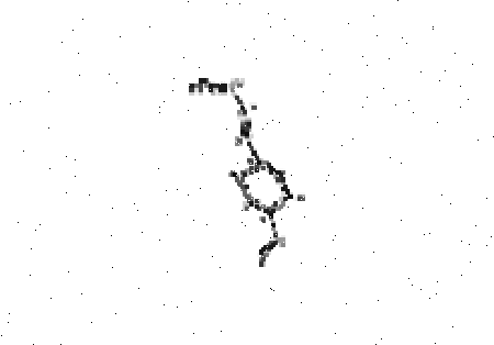 C=Cc1ccc(C#CCCCCC)cc1